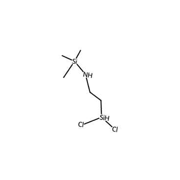 C[Si](C)(C)NCC[SiH](Cl)Cl